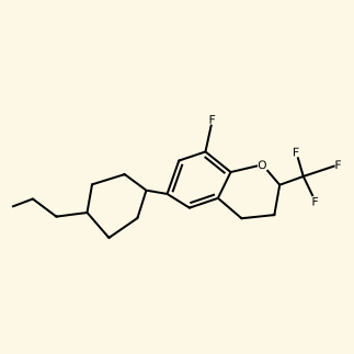 CCCC1CCC(c2cc(F)c3c(c2)CCC(C(F)(F)F)O3)CC1